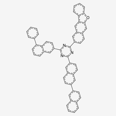 c1ccc(-c2cccc3cc(-c4nc(-c5ccc6cc(-c7ccc8ccccc8c7)ccc6c5)nc(-c5ccc6cc7oc8ccccc8c7cc6c5)n4)ccc23)cc1